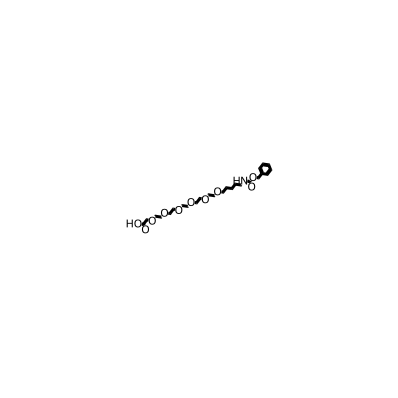 O=C(O)COCCOCCOCCOCCOCCOCCCCCNC(=O)OCc1ccccc1